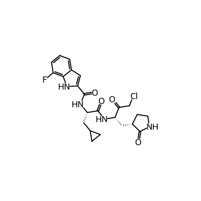 O=C(N[C@@H](CC1CC1)C(=O)N[C@@H](C[C@@H]1CCNC1=O)C(=O)CCl)c1cc2cccc(F)c2[nH]1